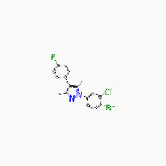 Cc1nn(-c2ccc(Br)c(Cl)c2)c(C)c1-c1ccc(F)cc1